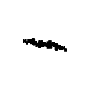 NCC(=O)OCCc1ccc(C=Cc2ccc(CCOC(=O)CN)cc2)cc1